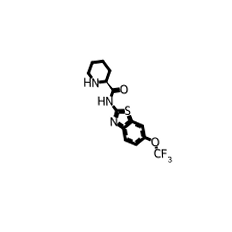 O=C(Nc1nc2ccc(OC(F)(F)F)cc2s1)[C@@H]1CCCCN1